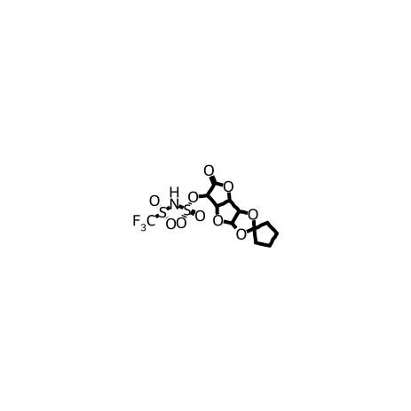 O=C1OC2C3OC4(CCCC4)OC3OC2C1OS(=O)(=O)NS(=O)(=O)C(F)(F)F